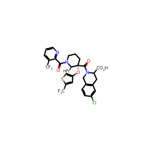 CCC[C@H]1N(C(=O)c2ncccc2C(F)(F)F)CCC[C@@]1(Oc1csc(C(F)(F)F)c1)C(=O)N1Cc2ccc(Cl)cc2CC1C(=O)O